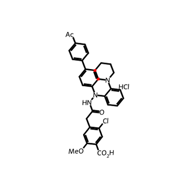 COc1cc(CC(=O)NN(c2ccc(-c3ccc(C(C)=O)cc3)cc2)c2ccccc2N2CCCCC2)c(Cl)cc1C(=O)O.Cl